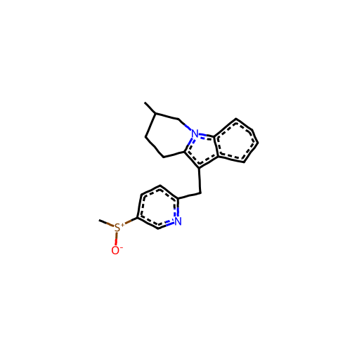 CC1CCc2c(Cc3ccc([S+](C)[O-])cn3)c3ccccc3n2C1